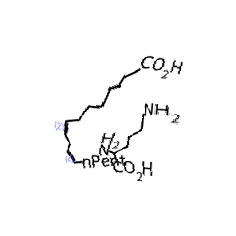 CCCCC/C=C\C/C=C\CCCCCCCC(=O)O.NCCCCC(N)C(=O)O